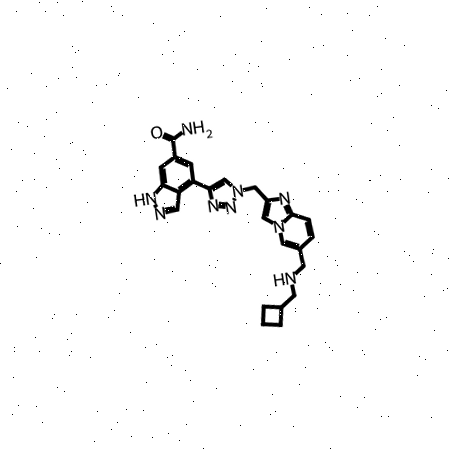 NC(=O)c1cc(-c2cn(Cc3cn4cc(CNCC5CCC5)ccc4n3)nn2)c2cn[nH]c2c1